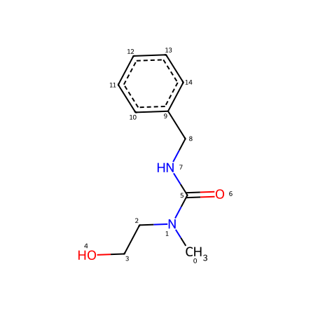 CN(CCO)C(=O)NCc1ccccc1